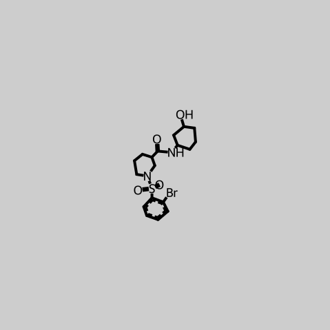 O=C(NC1CCCC(O)C1)C1CCCN(S(=O)(=O)c2ccccc2Br)C1